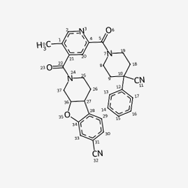 Cc1cnc(C(=O)N2CCC(C#N)(c3ccccc3)CC2)cc1C(=O)N1CCC2c3ccc(C#N)cc3OC2C1